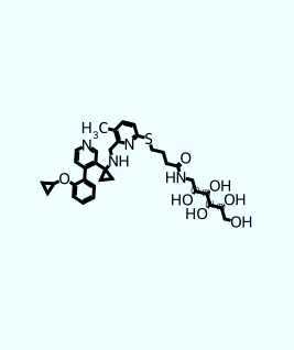 Cc1ccc(SCCCC(=O)NC[C@H](O)[C@@H](O)[C@H](O)[C@H](O)CO)nc1CNC1(c2cnccc2-c2ccccc2OC2CC2)CC1